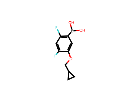 OB(O)c1cc(OCC2CC2)c(F)cc1F